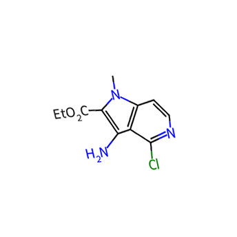 CCOC(=O)c1c(N)c2c(Cl)nccc2n1C